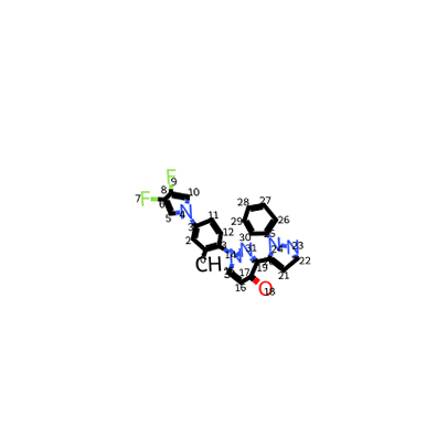 Cc1cc(-n2cc(F)c(F)c2)ccc1-n1ccc(=O)c(-c2ccnn2-c2ccccc2)n1